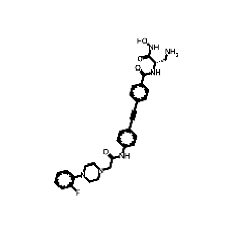 NC[C@H](NC(=O)c1ccc(C#Cc2ccc(NC(=O)CN3CCN(c4ccccc4F)CC3)cc2)cc1)C(=O)NO